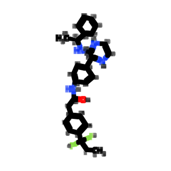 CCC(F)(F)c1ccc(CC(=O)Nc2ccc(-c3nccnc3N[C@@H](C)c3ccccc3)cc2)cc1